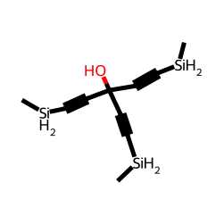 C[SiH2]C#CC(O)(C#C[SiH2]C)C#C[SiH2]C